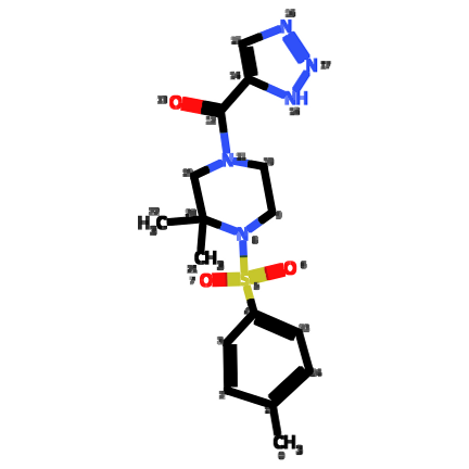 Cc1ccc(S(=O)(=O)N2CCN(C(=O)c3cnn[nH]3)CC2(C)C)cc1